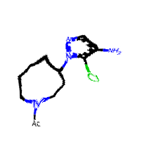 CC(=O)N1CCCCC(n2ncc(N)c2Cl)CC1